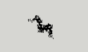 Cc1ccc(-c2cncc3[nH]c(-c4n[nH]c5cnc(-c6cncc(N(C)C)c6)cc45)cc23)s1